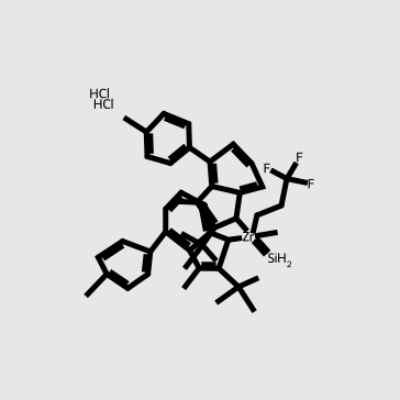 CC1=C(C(C)(C)C)[CH]([Zr]([CH3])(=[SiH2])([CH2]CC(F)(F)F)[CH]2C(C(C)(C)C)=C(C)c3c(-c4ccc(C)cc4)cccc32)c2cccc(-c3ccc(C)cc3)c21.Cl.Cl